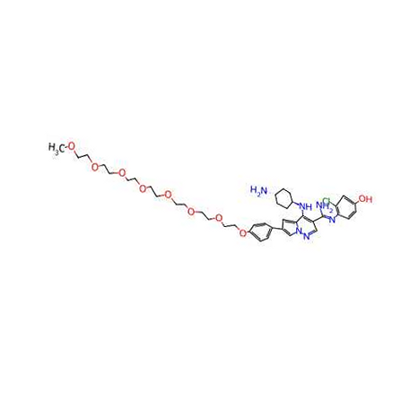 COCCOCCOCCOCCOCCOCCOCCOc1ccc(-c2cc3c(N[C@H]4CC[C@H](N)CC4)c(/C(N)=N/c4ccc(O)cc4Cl)cnn3c2)cc1